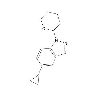 c1cc2c(cnn2C2CCCCO2)cc1C1CC1